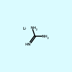 N=C(N)N.[Li]